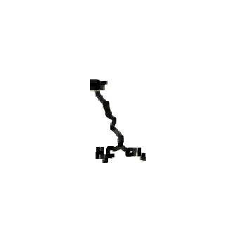 CC(C)=CCC/C=C/CBr